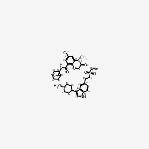 CN1C(=O)COc2c(C(=O)NC3CN4CCC3CC4)cc(Cl)cc21.CNS(=O)(=O)CCc1ccc2[nH]cc(C3CCN(C)CC3)c2c1